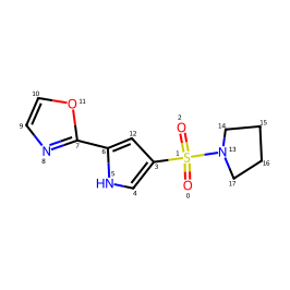 O=S(=O)(c1c[nH]c(-c2ncco2)c1)N1CCCC1